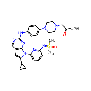 COC(=O)CN1CCN(c2ccc(Nc3ncc4cc(C5CC5)n(-c5cccc(N=S(C)(C)=O)n5)c4n3)cc2)CC1